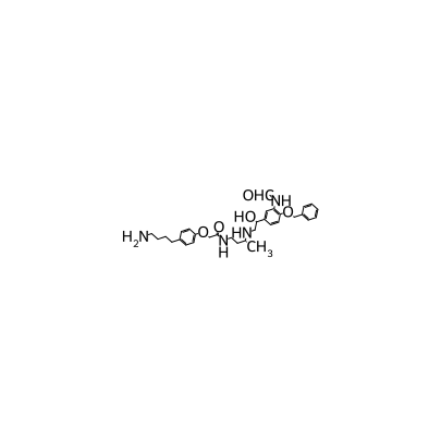 C[C@H](CCNC(=O)COc1ccc(CCCCN)cc1)NCC(O)c1ccc(OCc2ccccc2)c(NC=O)c1